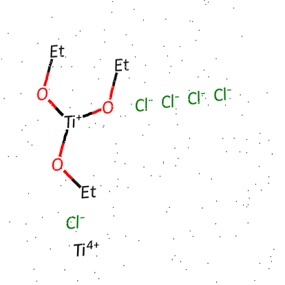 CC[O][Ti+]([O]CC)[O]CC.[Cl-].[Cl-].[Cl-].[Cl-].[Cl-].[Ti+4]